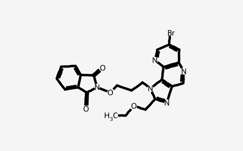 CCOCc1nc2cnc3cc(Br)cnc3c2n1CCCON1C(=O)c2ccccc2C1=O